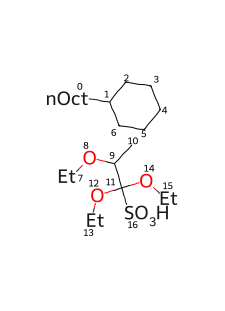 CCCCCCCCC1CCCCC1.CCOC(C)C(OCC)(OCC)S(=O)(=O)O